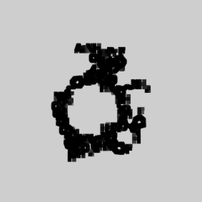 CCC[C@H](NC(C)=O)C(=O)N[C@@H](Cc1cnc[nH]1)C(=O)N(C)[C@@H](Cc1ccc(F)cc1)C(=O)N[C@H]1CSCc2cccc(c2)CSC[C@@H](C(N)=O)NC(=O)[C@@H]2CCCN2C(=O)[C@H](Cc2ccc(O)cc2)NC(=O)[C@H](Cc2c[nH]cn2)NC(=O)[C@H](CC(=O)O)NC(=O)[C@H](Cc2c[nH]c3ccc(F)cc23)NC(=O)[C@H](CCc2c[nH]c3ccc(F)cc23)NC(=O)CNC(=O)[C@H](CCCCN)NC1=O